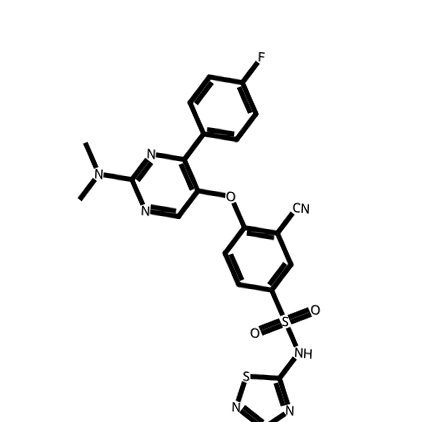 CN(C)c1ncc(Oc2ccc(S(=O)(=O)Nc3ncns3)cc2C#N)c(-c2ccc(F)cc2)n1